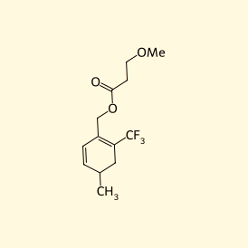 COCCC(=O)OCC1=C(C(F)(F)F)CC(C)C=C1